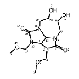 COCN1C(=O)N(CCO)C2C1N(COC)C(=O)N2CCO